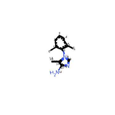 Cc1cccc(C)c1-n1cnc(N)c1C